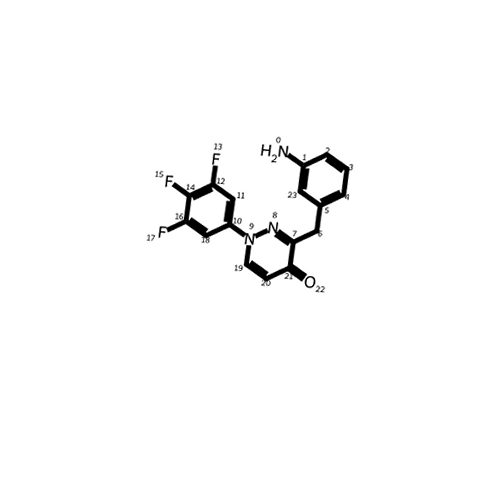 Nc1cccc(Cc2nn(-c3cc(F)c(F)c(F)c3)ccc2=O)c1